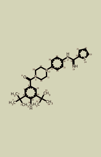 CC(C)(C)c1cc(C(=O)N2CCN(c3ccc(NC(=N)c4cccs4)cc3)CC2)cc(C(C)(C)C)c1O